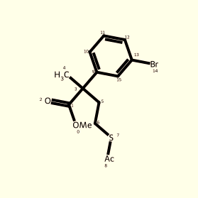 COC(=O)C(C)(CCSC(C)=O)c1cccc(Br)c1